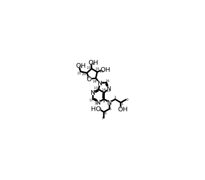 CC(O)CN(CC(C)O)c1ncnc2c1ncn2C1OC(CO)C(O)C1O